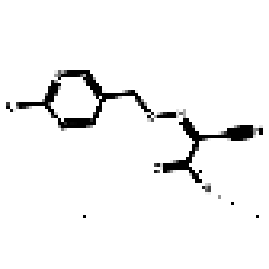 N#CC(=NOCc1ccc(Cl)nc1)C(N)=O